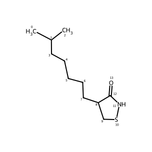 CC(C)CCCCCC1CSNC1=O